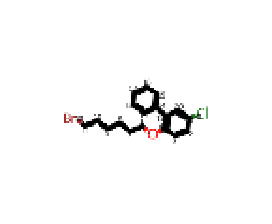 Clc1ccc(OCCCCCCBr)c(-c2ccccc2)c1